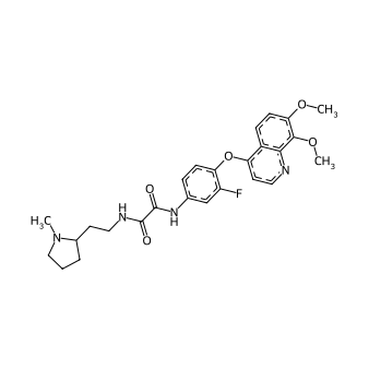 COc1ccc2c(Oc3ccc(NC(=O)C(=O)NCCC4CCCN4C)cc3F)ccnc2c1OC